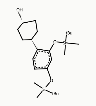 CC(C)(C)[Si](C)(C)Oc1ccc([C@H]2CC[C@@H](O)CC2)c(O[Si](C)(C)C(C)(C)C)c1